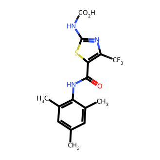 Cc1cc(C)c(NC(=O)c2sc(NC(=O)O)nc2C(F)(F)F)c(C)c1